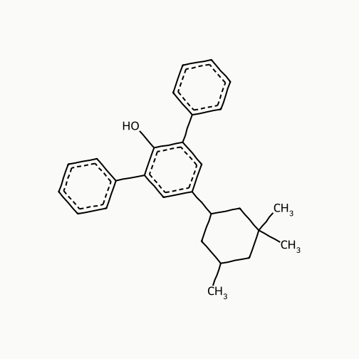 CC1CC(c2cc(-c3ccccc3)c(O)c(-c3ccccc3)c2)CC(C)(C)C1